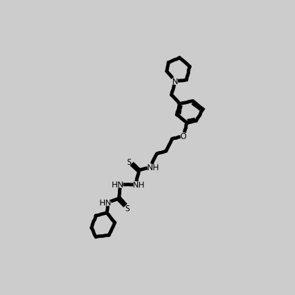 S=C(NCCCOc1cccc(CN2CCCCC2)c1)NNC(=S)NC1CCCCC1